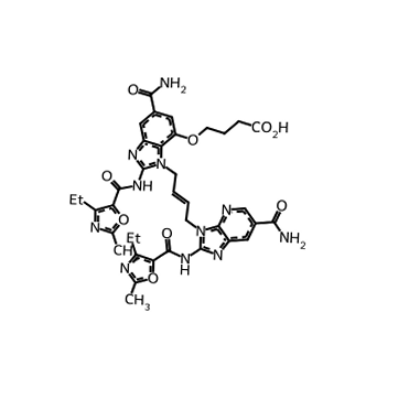 CCc1nc(C)oc1C(=O)Nc1nc2cc(C(N)=O)cnc2n1CC=CCn1c(NC(=O)c2oc(C)nc2CC)nc2cc(C(N)=O)cc(OCCCC(=O)O)c21